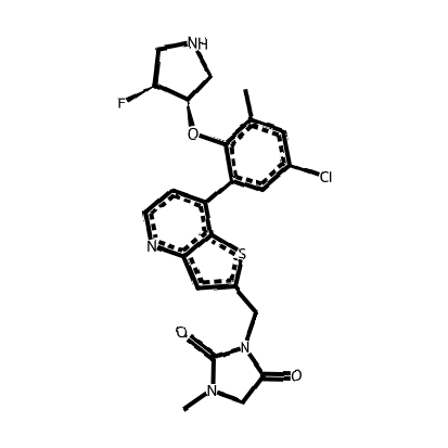 Cc1cc(Cl)cc(-c2ccnc3cc(CN4C(=O)CN(C)C4=O)sc23)c1O[C@@H]1CNC[C@@H]1F